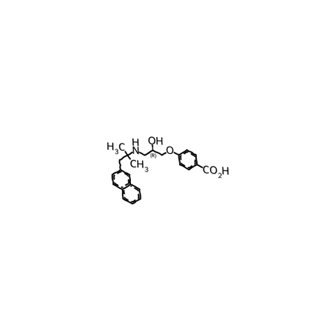 CC(C)(Cc1ccc2ccccc2c1)NC[C@@H](O)COc1ccc(C(=O)O)cc1